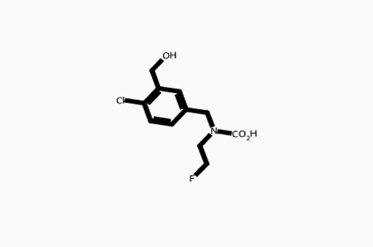 O=C(O)N(CCF)Cc1ccc(Cl)c(CO)c1